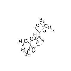 CC1(C)OCC([C@@H]2SCC3OC(C)(C)O[C@@H]32)O1